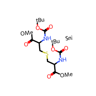 COC(=O)C(CSCC(NC(=O)OC(C)(C)C)C(=O)OC)NC(=O)OC(C)(C)C.[Sn]